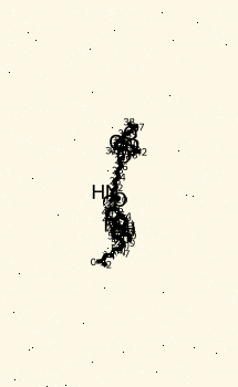 CC(C)CCC[C@@H](C)[C@H]1CC[C@H]2[C@@H]3CC=C4C[C@@H](OC(=O)NCCCCCCO[C@H]5[C@H](C)OC(COC(C)C)[C@H]5OC(C)C)CC[C@]4(C)[C@H]3CC[C@]12C